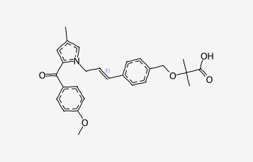 COc1ccc(C(=O)c2cc(C)cn2C/C=C/c2ccc(COC(C)(C)C(=O)O)cc2)cc1